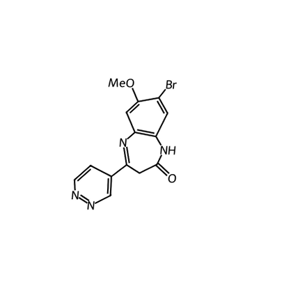 COc1cc2c(cc1Br)NC(=O)CC(c1ccnnc1)=N2